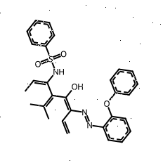 C=CC(/N=N/c1ccccc1Oc1ccccc1)=C(/O)C(=C(C)C)/C(=C\C)NS(=O)(=O)c1ccccc1